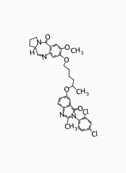 COc1cc2c(cc1OCCCCC(C)Oc1ccc3nc(C)n(-c4ccc(Cl)cc4Cl)c(=O)c3c1)N=C[C@@H]1CCCN1C2=O